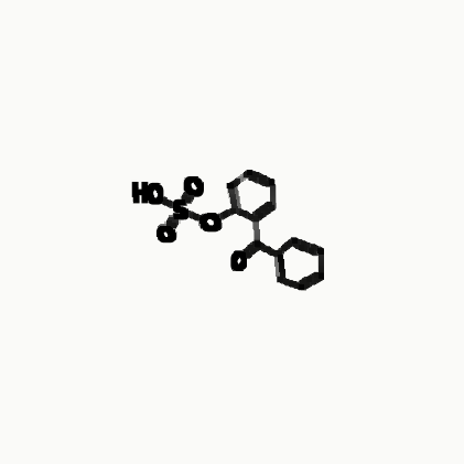 O=C(c1ccccc1)c1ccccc1OS(=O)(=O)O